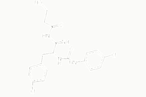 N=C(NC(=O)CCO)C(Cc1ccc(Cl)cc1)NC(=O)Nc1ccc(Cl)cc1